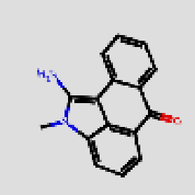 Cn1c(N)c2c3c(cccc31)C(=O)c1ccccc1-2